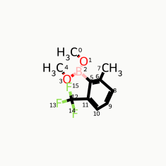 COB(OC)c1c(C)cccc1C(F)(F)F